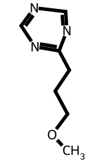 COCCCc1ncncn1